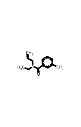 C=CCN(CC)C(=O)c1cccc(C)c1